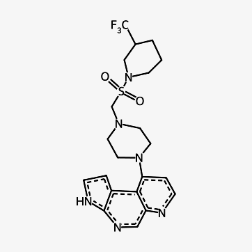 O=S(=O)(CN1CCN(c2ccnc3cnc4[nH]ccc4c23)CC1)N1CCCC(C(F)(F)F)C1